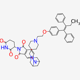 CCC(=C(c1ccccc1)c1ccc(OCCN2CCC(CN3CC4CC(C3)N4c3ccc4c(c3)C(=O)N(C3CCC(=O)NC3=O)C4=O)CC2)cc1)c1ccccc1